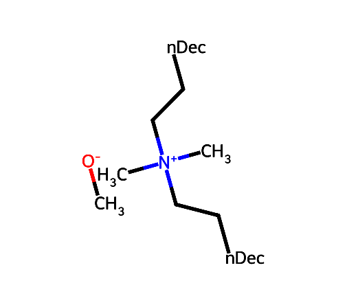 CCCCCCCCCCCC[N+](C)(C)CCCCCCCCCCCC.C[O-]